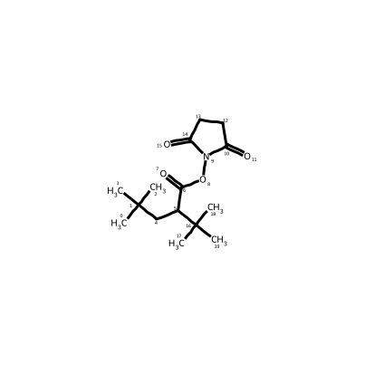 CC(C)(C)CC(C(=O)ON1C(=O)CCC1=O)C(C)(C)C